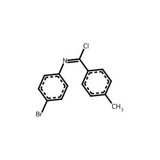 Cc1ccc(/C(Cl)=N\c2ccc(Br)cc2)cc1